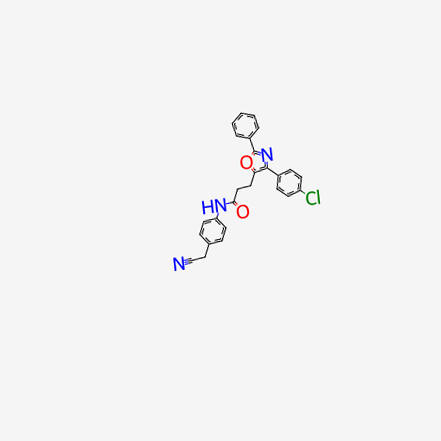 N#CCc1ccc(NC(=O)CCc2oc(-c3ccccc3)nc2-c2ccc(Cl)cc2)cc1